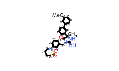 COc1cccc(-c2cccc(C3(C)NC(=N)N(Cc4cccc(N5CCCCS5(=O)=O)c4)C3=O)c2)c1